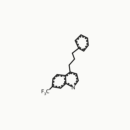 FC(F)(F)c1ccc2c(CCCc3ccccc3)ccnc2c1